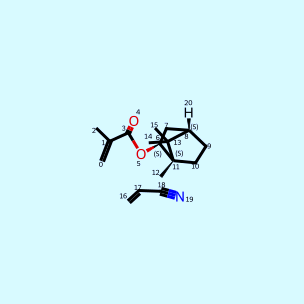 C=C(C)C(=O)O[C@H]1C[C@@H]2CC[C@@]1(C)C2(C)C.C=CC#N